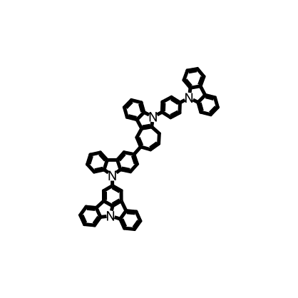 C1=CC(c2ccc3c(c2)c2ccccc2n3-c2cc3c4ccccc4n4c5ccccc5c(c2)c34)=Cc2c(n(-c3ccc(-n4c5ccccc5c5ccccc54)cc3)c3ccccc23)C1